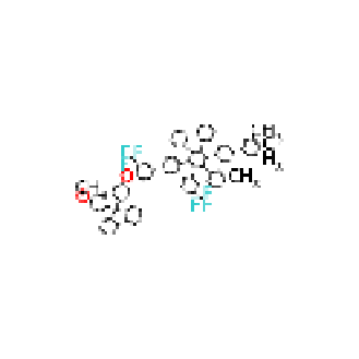 COc1ccc(C2(c3ccc(Oc4ccc(-c5ccc(-c6c(-c7ccccc7)c(-c7ccccc7)c(-c7ccc(-c8ccc(C)c(C)c8)cc7)c(-c7cccc(C)c7)c6-c6cccc(C(F)(F)F)c6)cc5)cc4C(F)(F)F)cc3)c3ccccc3-c3ccccc32)cc1